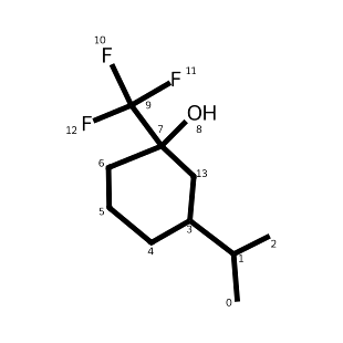 CC(C)C1CCCC(O)(C(F)(F)F)C1